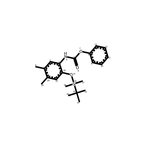 Cc1cc(NC(=O)Oc2ccccc2)c(O[Si](C)(C)C(C)(C)C)cc1C